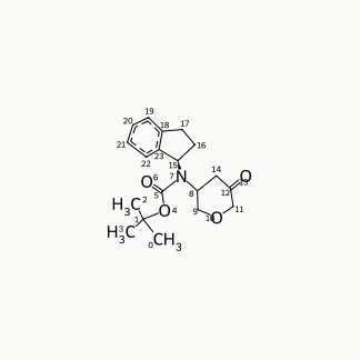 CC(C)(C)OC(=O)N(C1COCC(=O)C1)[C@@H]1CCc2ccccc21